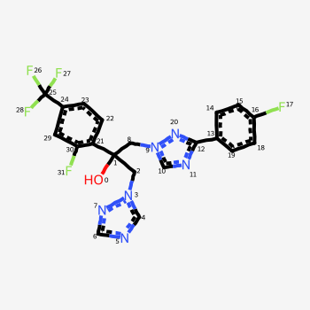 OC(Cn1cncn1)(Cn1cnc(-c2ccc(F)cc2)n1)c1ccc(C(F)(F)F)cc1F